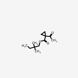 CCC(C)(C)COC(=O)C1(C(C)=O)CC1